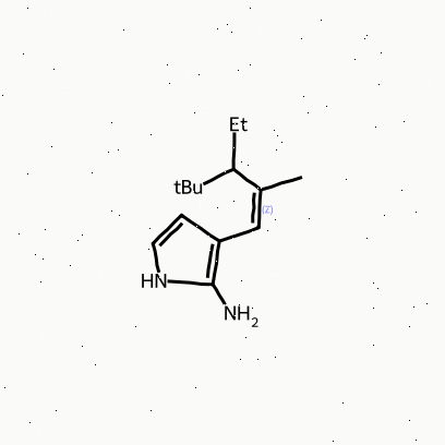 CCC(/C(C)=C\c1cc[nH]c1N)C(C)(C)C